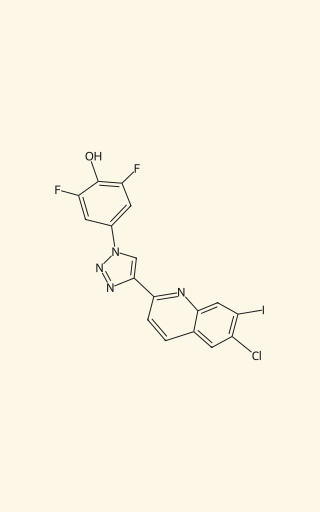 Oc1c(F)cc(-n2cc(-c3ccc4cc(Cl)c(I)cc4n3)nn2)cc1F